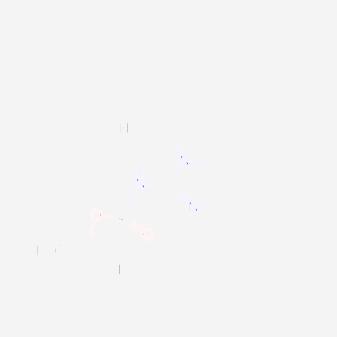 CCN1C(NC(=O)OC(C)C)=NCC1c1ccc2ccccc2c1